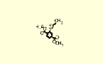 CCCCNc1cc(C(=O)OC)ccc1C(=O)OC